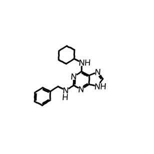 c1ccc(CNc2nc(NC3CCCCC3)c3nc[nH]c3n2)cc1